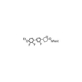 CCCCCOC1CCC(c2ccc(-c3ccc(OCC)c(F)c3F)cc2F)CO1